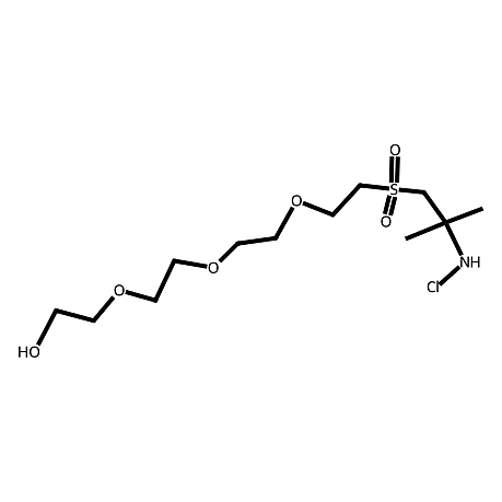 CC(C)(CS(=O)(=O)CCOCCOCCOCCO)NCl